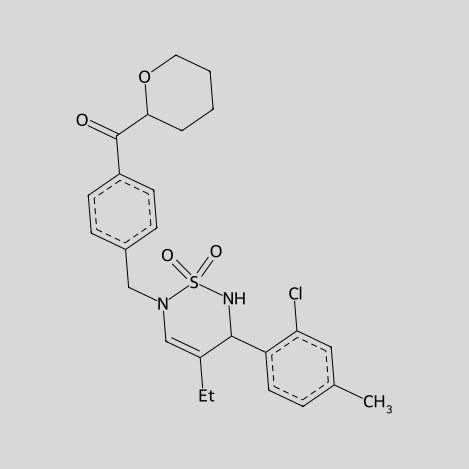 CCC1=CN(Cc2ccc(C(=O)C3CCCCO3)cc2)S(=O)(=O)NC1c1ccc(C)cc1Cl